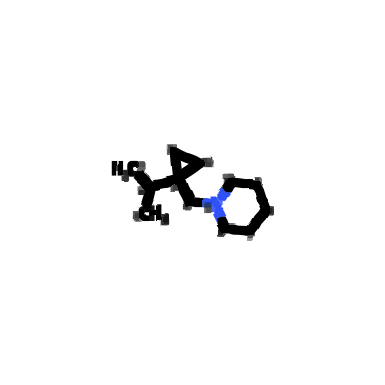 CC(C)C1(CN2CCCCC2)CC1